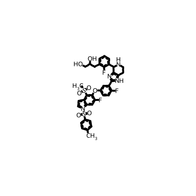 Cc1ccc(S(=O)(=O)n2ccc3c(S(C)(=O)=O)c(Oc4ccc(F)c(-c5nc6c([nH]5)CCNC6c5cccc(CC(O)CO)c5F)c4)c(F)cc32)cc1